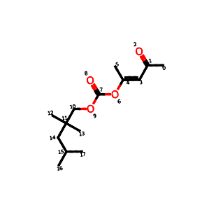 CC(=O)/C=C(\C)OC(=O)OCC(C)(C)CC(C)C